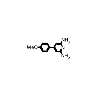 COc1ccc(-c2cc(N)nc(N)c2)cc1